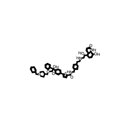 O=C(NCc1ccc(CCNCC(O)c2ccc(O)c3[nH]c(=O)ccc23)cc1)c1ccc(-c2ccc(C(O)(C(=O)OCC3CCN(Cc4ccccc4)CC3)c3ccccc3)cc2)s1